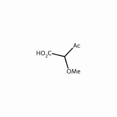 COC(C(C)=O)C(=O)O